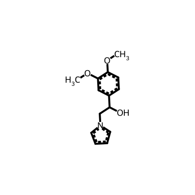 COc1ccc(C(O)Cn2cccc2)cc1OC